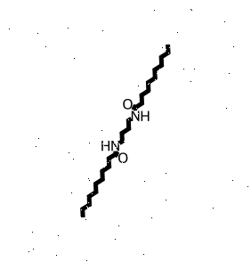 CCCCCCCCCCC(=O)NCCCCNC(=O)CCCCCCCCCC